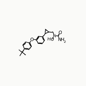 CC(C)(C)c1ccc(Oc2cccc(C3CC3CN(O)C(N)=O)c2)cc1